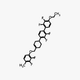 CCOc1ccc(-c2ccc(C3CC=C(COc4ccc(C)c(F)c4F)CC3)c(F)c2F)c(F)c1F